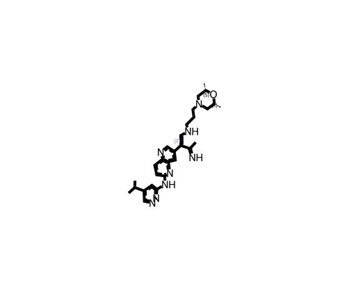 CC(=N)/C(=C\NCCCN1C[C@@H](C)O[C@@H](C)C1)c1cnc2ccc(Nc3cc(C(C)C)cnn3)nc2c1